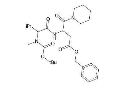 CC(C)C(C(=O)NC(CC(=O)OCc1ccccc1)C(=O)N1CCCCC1)N(C)C(=O)OC(C)(C)C